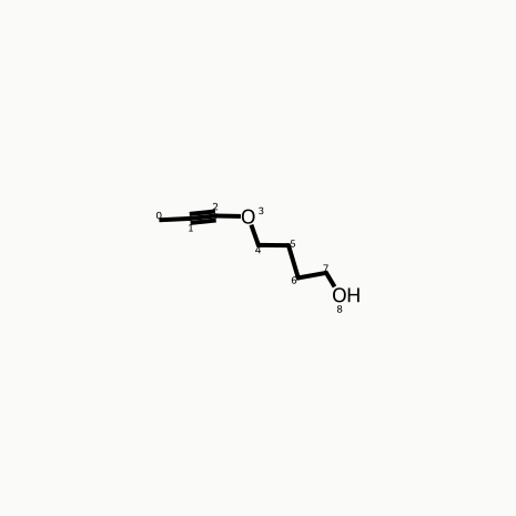 CC#COCCCCO